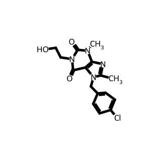 Cc1nc2c(c(=O)n(CCO)c(=O)n2C)n1Cc1ccc(Cl)cc1